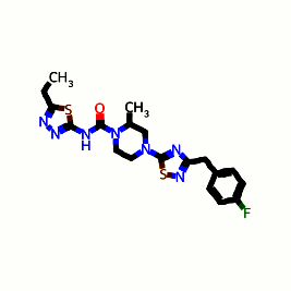 CCc1nnc(NC(=O)N2CCN(c3nc(Cc4ccc(F)cc4)ns3)CC2C)s1